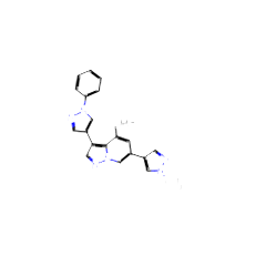 COc1cc(-c2cnn(C)c2)cn2ncc(-c3cnn(-c4ccccc4)c3)c12